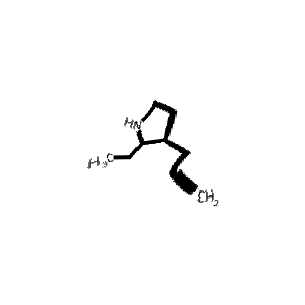 C=CCC1CCNC1CC